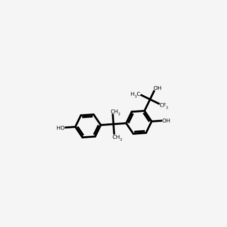 CC(C)(c1ccc(O)cc1)c1ccc(O)c(C(C)(O)C(F)(F)F)c1